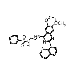 COc1cc2nc(-c3cccc4cccnc34)nc(NCCNS(=O)(=O)c3ccccc3)c2cc1OC